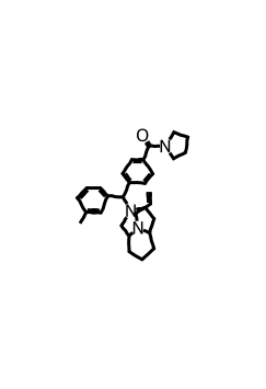 C=CCN1C2CCCC1CN(C(c1ccc(C(=O)N3CCCC3)cc1)c1cccc(C)c1)CC2